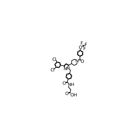 O=C(O)CCNC(=O)c1ccc(Cn2nc(-c3cc(Cl)cc(Cl)c3)cc2C2CCN(C(=O)c3ccc(OC(F)(F)F)cc3)CC2)cc1